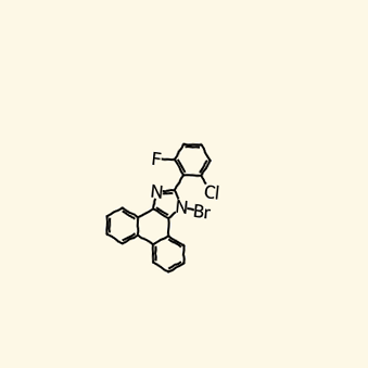 Fc1cccc(Cl)c1-c1nc2c3ccccc3c3ccccc3c2n1Br